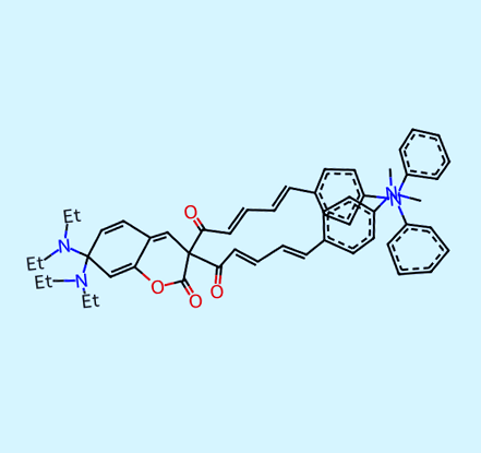 CCN(CC)C1(N(CC)CC)C=CC2=CC(C(=O)C=CC=Cc3ccc(N(C)C)cc3)(C(=O)C=CC=Cc3ccc(N(c4ccccc4)c4ccccc4)cc3)C(=O)OC2=C1